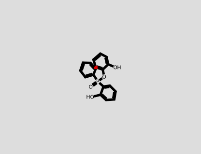 O=P(Oc1ccccc1O)(c1ccccc1)c1ccccc1O